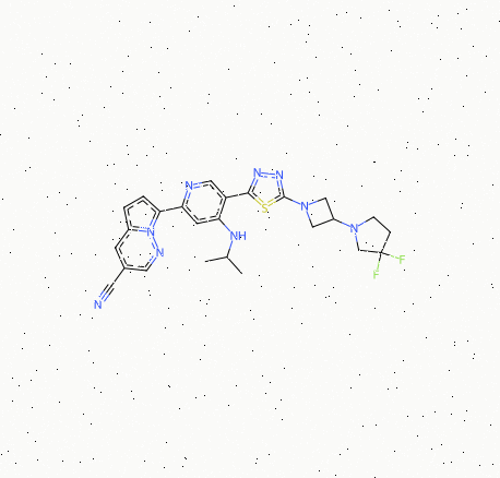 CC(C)Nc1cc(-c2ccc3cc(C#N)cnn23)ncc1-c1nnc(N2CC(N3CCC(F)(F)C3)C2)s1